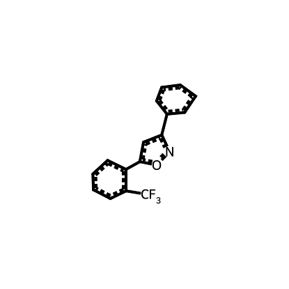 FC(F)(F)c1ccccc1-c1cc(-c2ccccc2)no1